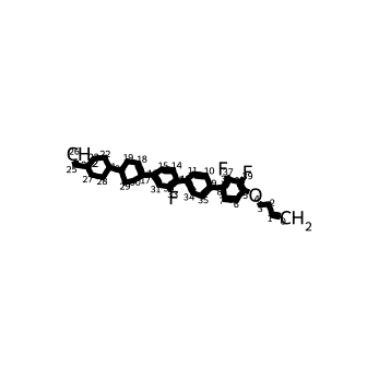 C=CCCOc1ccc(-c2ccc(-c3ccc(C4=CCC(C5CCC(C=C)CC5)CC4)cc3F)cc2)c(F)c1F